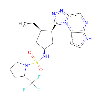 CC[C@@H]1C[C@H](NS(=O)(=O)N2CCC[C@H]2C(F)(F)F)C[C@@H]1c1nnc2cnc3[nH]ccc3n12